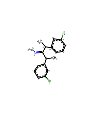 CON=C(C(C)c1cccc(Br)c1)C(C)c1cccc(Br)c1